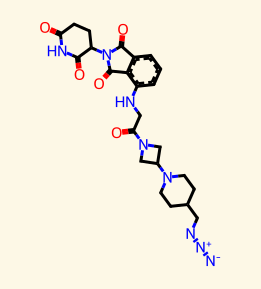 [N-]=[N+]=NCC1CCN(C2CN(C(=O)CNc3cccc4c3C(=O)N(C3CCC(=O)NC3=O)C4=O)C2)CC1